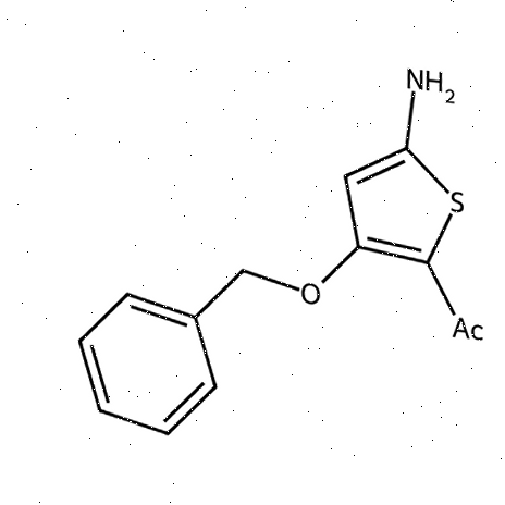 CC(=O)c1sc(N)cc1OCc1ccccc1